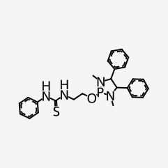 CN1C(c2ccccc2)C(c2ccccc2)N(C)P1OCCNC(=S)Nc1ccccc1